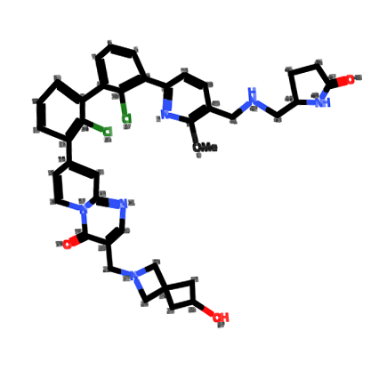 COc1nc(-c2cccc(-c3cccc(-c4ccn5c(=O)c(CN6CC7(CC(O)C7)C6)cnc5c4)c3Cl)c2Cl)ccc1CNCC1CCC(=O)N1